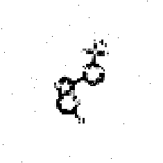 CS(=O)(=O)c1nccc(-c2cnc3ccc(Cl)nn23)n1